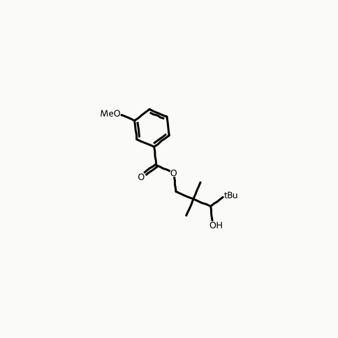 COc1cccc(C(=O)OCC(C)(C)C(O)C(C)(C)C)c1